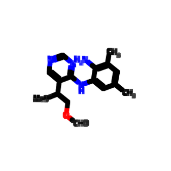 CSC(COC=O)c1cncnc1Nc1cc(C)cc(C)c1N